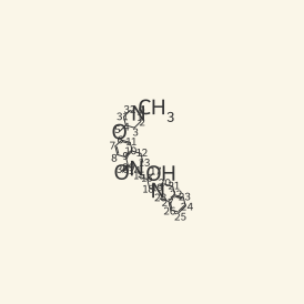 CN1CCC(Oc2ccc3c(c2)CCN(CC(O)CN2CCc4ccccc4C2)C3=O)CC1